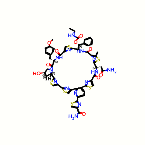 CCNC(=O)O[C@H](c1ccccc1)[C@@H]1NC(=O)c2nc(sc2C)[C@H](CC(N)=O)NC(=O)c2csc(n2)-c2ccc(-c3nc(C(N)=O)cs3)nc2-c2csc(n2)-c2csc(n2)[C@@H]2[C@@H](C)[C@@H](O)CN2C(=O)[C@H](Cc2ccc(OC)cc2)NC(=O)c2csc1n2